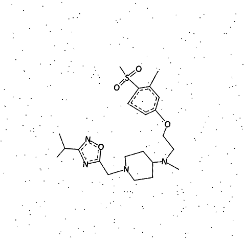 Cc1cc(OCCN(C)C2CCN(Cc3nc(C(C)C)no3)CC2)ccc1S(C)(=O)=O